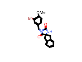 COc1ccc(CN2C(=O)NC3(Cc4ccccc4C3)C2=O)cc1Br